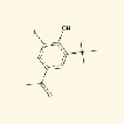 CC(=O)c1cc(I)c(O)c(C(C)(C)C)c1